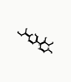 C/C=C(\C=C/C(C)=C(/C)CC)C(/N=C\OC)=C(\C)CC